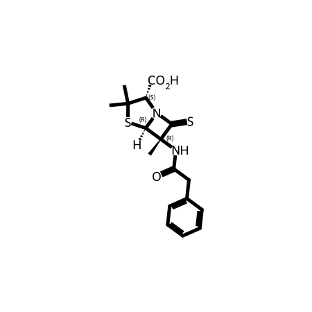 CC1(C)S[C@H]2N(C(=S)[C@]2(C)NC(=O)Cc2ccccc2)[C@H]1C(=O)O